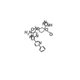 COCCO[C@]1(c2nnc[nH]2)CC[C@@H](c2nc3c(-c4ccc(-c5ccccc5)nc4)cnn3c(N)c2S(C)(=O)=O)CC1